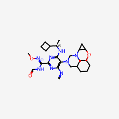 C=Nc1nc(/C(=N/OC)NC=O)nc(N[C@H](C)C2CCC2)c1N(CC1CCCCC1)CN1CCOC2CC21